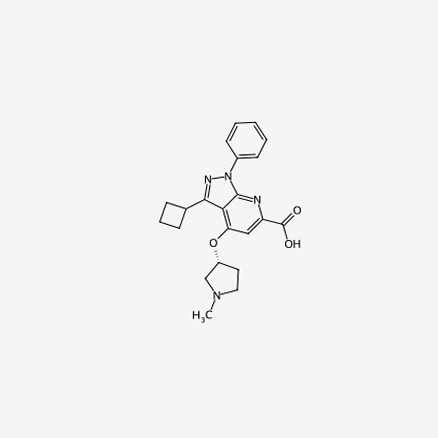 CN1CC[C@@H](Oc2cc(C(=O)O)nc3c2c(C2CCC2)nn3-c2ccccc2)C1